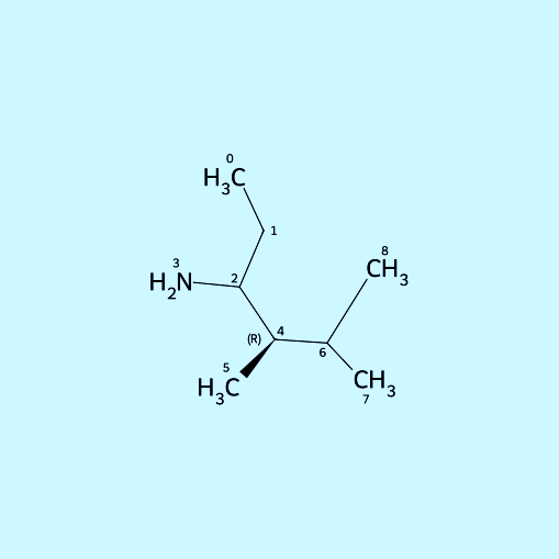 CCC(N)[C@H](C)C(C)C